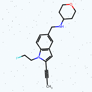 CC#Cc1cc2cc(CNC3CCOCC3)ccc2n1CCF